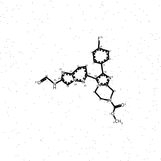 COC(=O)N1CCn2c(nc(-c3ccc(F)cc3)c2-c2ccc3nc(NC=O)cn3n2)C1